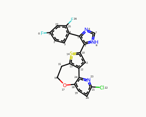 Fc1ccc(-c2nc[nH]c2-c2cc3c(s2)CCOc2ccc(Cl)nc2-3)c(F)c1